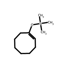 C[Si](C)(C)OC1=CCCCCCC1